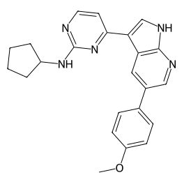 COc1ccc(-c2cnc3[nH]cc(-c4ccnc(NC5CCCC5)n4)c3c2)cc1